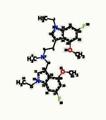 CCn1cc(CCN(C)Cc2cn(CC)c3cc(F)cc(OC)c23)c2c(OC)cc(F)cc21